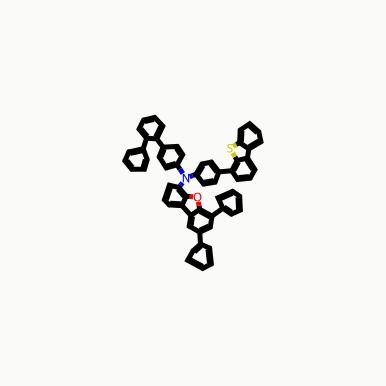 c1ccc(-c2cc(-c3ccccc3)c3oc4c(N(c5ccc(-c6ccccc6-c6ccccc6)cc5)c5ccc(-c6cccc7c6sc6ccccc67)cc5)cccc4c3c2)cc1